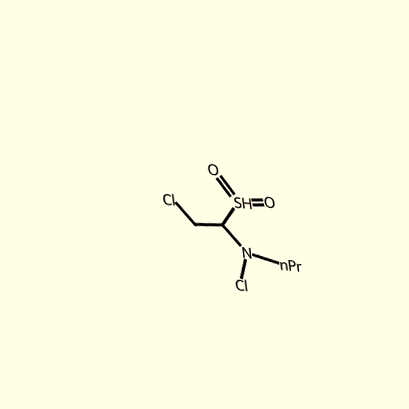 CCCN(Cl)C(CCl)[SH](=O)=O